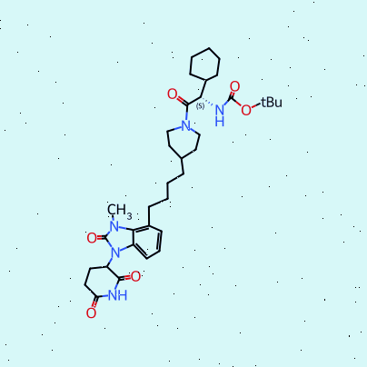 Cn1c(=O)n(C2CCC(=O)NC2=O)c2cccc(CCCCC3CCN(C(=O)[C@@H](NC(=O)OC(C)(C)C)C4CCCCC4)CC3)c21